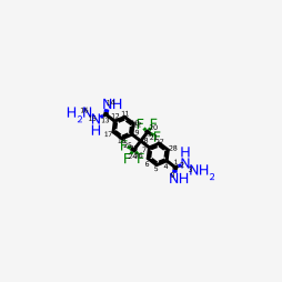 N=C(NN)c1ccc(C(c2ccc(C(=N)NN)cc2)(C(F)(F)F)C(F)(F)F)cc1